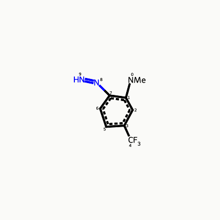 CNc1cc(C(F)(F)F)ccc1N=N